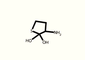 NC1CCSC1(O)O